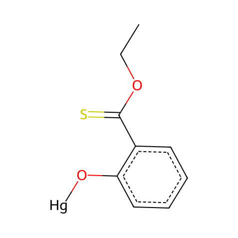 CCOC(=S)c1ccccc1[O][Hg]